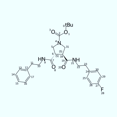 CC(C)(C)OC(=O)N1C[C@@H](C(=O)NCCc2ccccc2)[C@H](C(=O)NCCc2ccc(F)cc2)C1